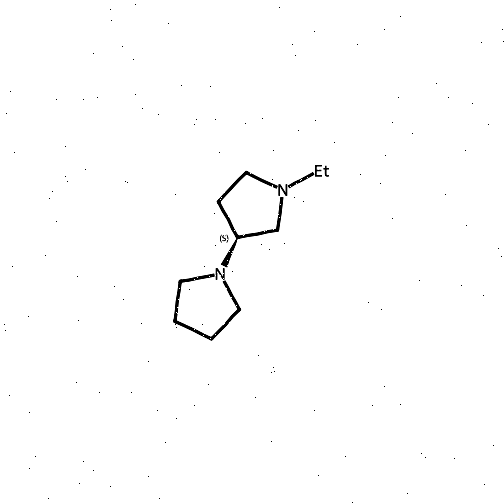 CCN1CC[C@H](N2CCCC2)C1